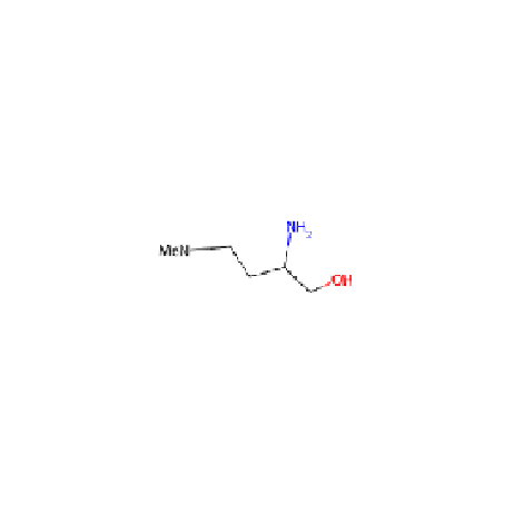 CNCCC(N)CO